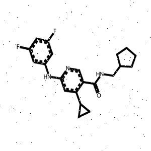 O=C(NCC1CCCC1)c1cnc(Nc2cc(F)cc(F)c2)cc1C1CC1